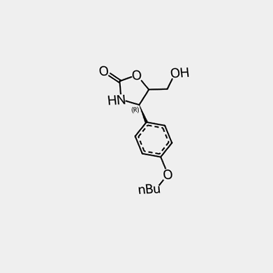 CCCCOc1ccc([C@H]2NC(=O)OC2CO)cc1